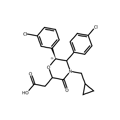 O=C(O)CC1O[C@@H](c2cccc(Cl)c2)C(c2ccc(Cl)cc2)N(CC2CC2)C1=O